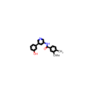 COc1cc(C(=O)Nc2cncc(-c3cccc(O)c3)c2)ccc1C